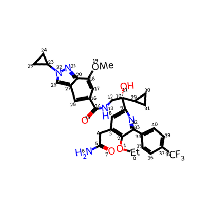 CCOc1c(CC(N)=O)cc([C@@](O)(CNC(=O)c2cc(OC)c3nn(C4CC4)cc3c2)C2CC2)nc1-c1ccc(C(F)(F)F)cc1